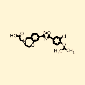 CC(C)Oc1ccc(-c2nc(-c3ccc4c(c3)OCCN(CC(=O)O)C4)no2)cc1Cl